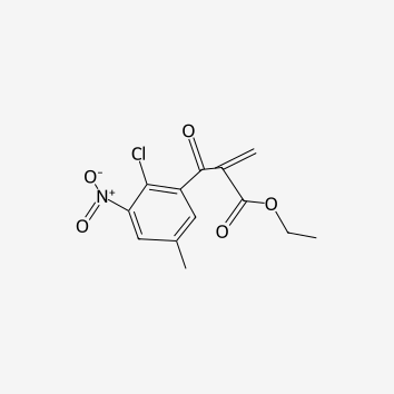 C=C(C(=O)OCC)C(=O)c1cc(C)cc([N+](=O)[O-])c1Cl